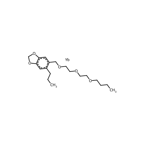 CCCCOCCOCCOCc1cc2c(cc1CCC)OCO2.[Yb]